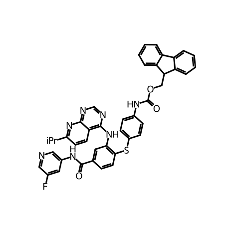 CC(C)c1ccc2c(Nc3cc(C(=O)Nc4cncc(F)c4)ccc3Sc3ccc(NC(=O)OCC4c5ccccc5-c5ccccc54)cc3)ncnc2n1